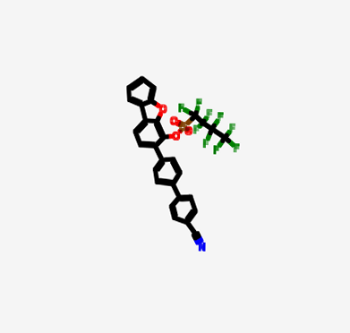 N#Cc1ccc(-c2ccc(-c3ccc4c(oc5ccccc54)c3OS(=O)(=O)C(F)(F)C(F)(F)C(F)(F)C(F)(F)F)cc2)cc1